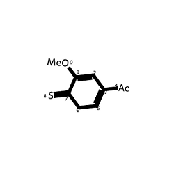 COC1=CC(C(C)=O)=CCC1=S